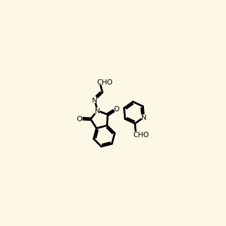 O=CC=NN1C(=O)c2ccccc2C1=O.O=Cc1ccccn1